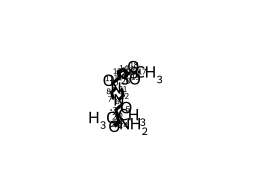 CC(C)([CH]C(=O)N1CCN(C(=O)c2ccc(S(C)(=O)=O)s2)CC1)C(N)=O